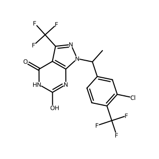 CC(c1ccc(C(F)(F)F)c(Cl)c1)n1nc(C(F)(F)F)c2c(=O)[nH]c(O)nc21